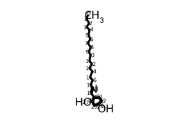 CCCCCCCCCCCCCCCCCC/N=C/c1ccc(O)cc1O